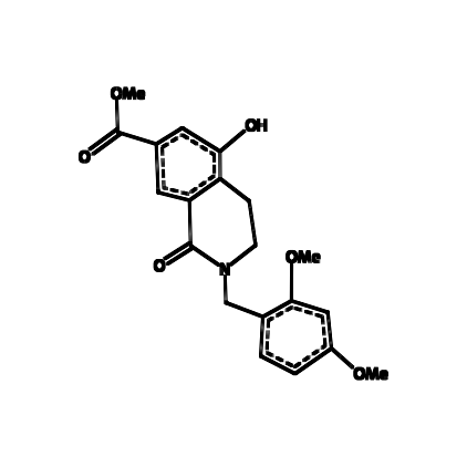 COC(=O)c1cc(O)c2c(c1)C(=O)N(Cc1ccc(OC)cc1OC)CC2